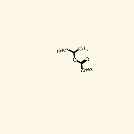 CCCCCCC(=O)OC(C)CCCCCC